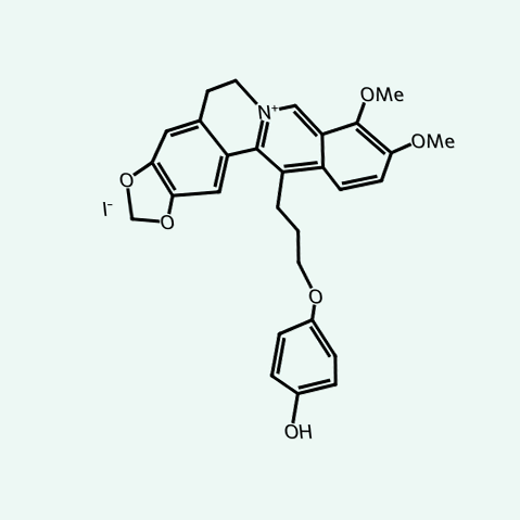 COc1ccc2c(CCCOc3ccc(O)cc3)c3[n+](cc2c1OC)CCc1cc2c(cc1-3)OCO2.[I-]